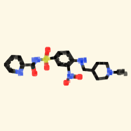 CN1CCC(CNc2ccc(S(=O)(=O)NC(=O)c3ccccn3)cc2[N+](=O)[O-])CC1